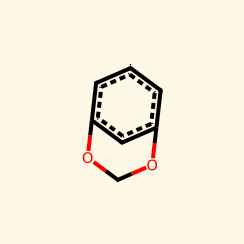 [c]1cc2cc(c1)OCO2